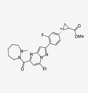 CCc1cc(C(=O)N2CCCCCN2C)nc2cc(-c3ccc([C@@H]4CC4C(=O)OC)cc3F)nn12